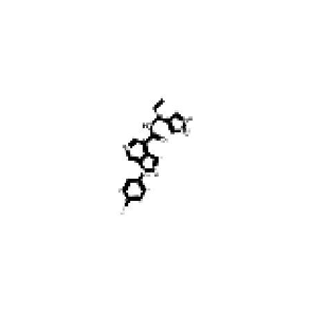 CC[C@H](NC(=O)c1cncc2c1cnn2-c1ccc(F)cc1)c1cn[nH]c1